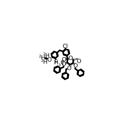 [2H]C([2H])([2H])Oc1ccc(Cc2cc([C@]3(OC)O[C@H](C=O)[C@@H](OCc4ccccc4)[C@H](OCc4ccccc4)[C@H]3OCc3ccccc3)ccc2Cl)cc1F